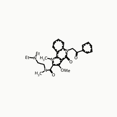 CCN(CC)CCN(C)C(=O)c1c(OC)c2c(=O)n(CC(=O)c3ccccc3)c3ccccc3c2n1C